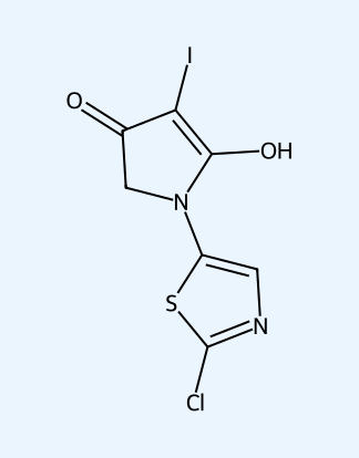 O=C1CN(c2cnc(Cl)s2)C(O)=C1I